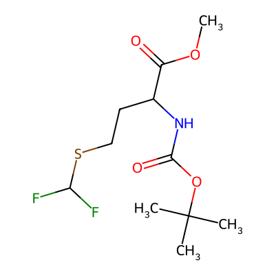 COC(=O)C(CCSC(F)F)NC(=O)OC(C)(C)C